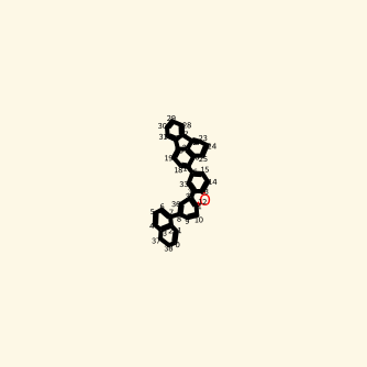 C1=Cc2c(cccc2-c2ccc3oc4ccc(-c5ccc6c7c(cccc57)-c5ccccc5-6)cc4c3c2)CC1